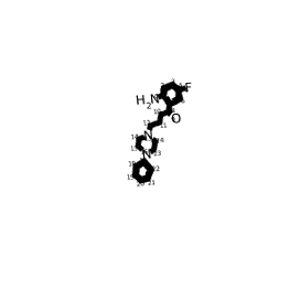 Nc1ccc(F)cc1C(=O)CCCN1CCN(c2ccccc2)CC1